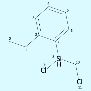 CCc1ccccc1[SiH](Cl)CCl